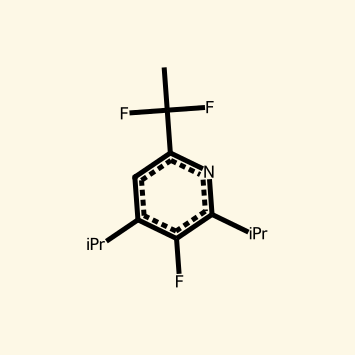 CC(C)c1cc(C(C)(F)F)nc(C(C)C)c1F